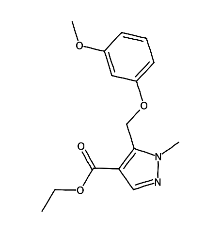 CCOC(=O)c1cnn(C)c1COc1cccc(OC)c1